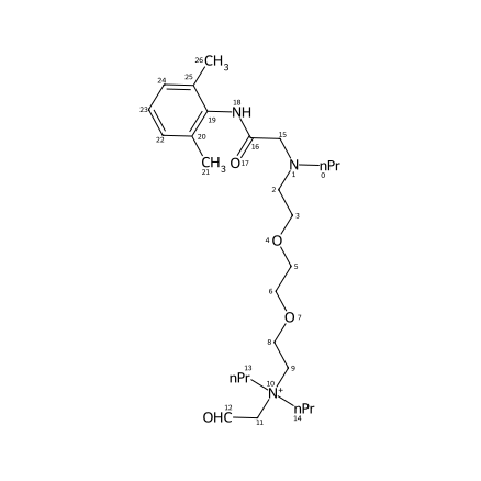 CCCN(CCOCCOCC[N+](CC=O)(CCC)CCC)CC(=O)Nc1c(C)cccc1C